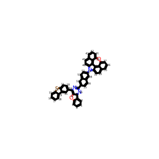 c1ccc2c(c1)oc1c(-c3ccc4sc5ccccc5c4c3)nc(-c3ccc4cc(-n5c6ccc7cccc8oc9cccc%10ccc5c(c%109)c6c78)ccc4c3)nc12